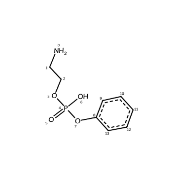 NCCOP(=O)(O)Oc1ccccc1